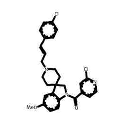 COc1ccc2c(c1)C1(CCN(C/C=C/c3ccc(Cl)cc3)CC1)CN2C(=O)c1ccnc(Cl)c1